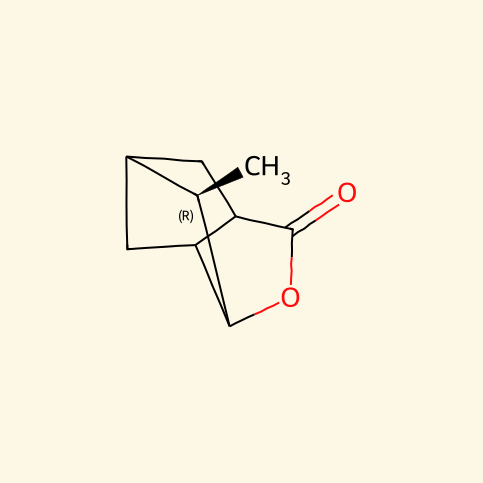 C[C@@H]1C2CC3C(=O)OC1C3C2